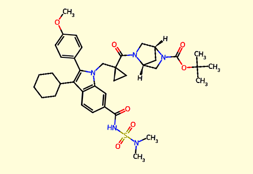 COc1ccc(-c2c(C3CCCCC3)c3ccc(C(=O)NS(=O)(=O)N(C)C)cc3n2CC2(C(=O)N3C[C@H]4C[C@@H]3CN4C(=O)OC(C)(C)C)CC2)cc1